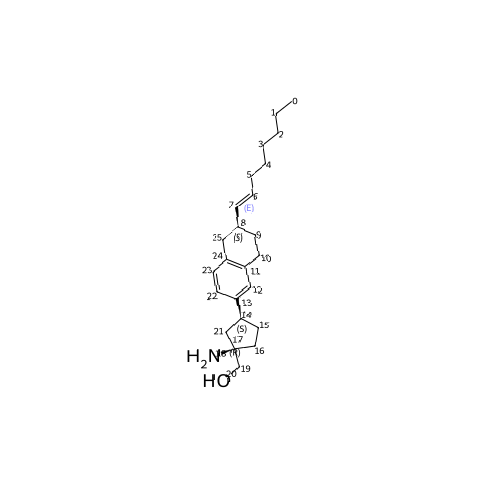 CCCCCC/C=C/[C@H]1CCc2cc([C@H]3CC[C@](N)(CO)C3)ccc2C1